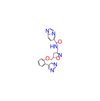 O=C(NCC1=NOC(COc2ccccc2-c2cncnc2)C1)c1ccc2nccn2c1